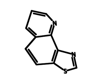 c1cnc2c(c1)ccc1scnc12